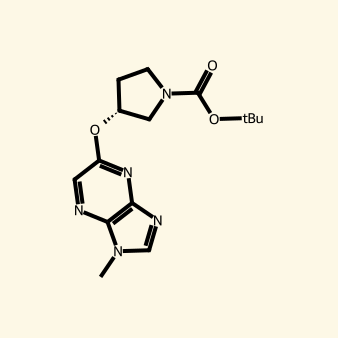 Cn1cnc2nc(O[C@@H]3CCN(C(=O)OC(C)(C)C)C3)cnc21